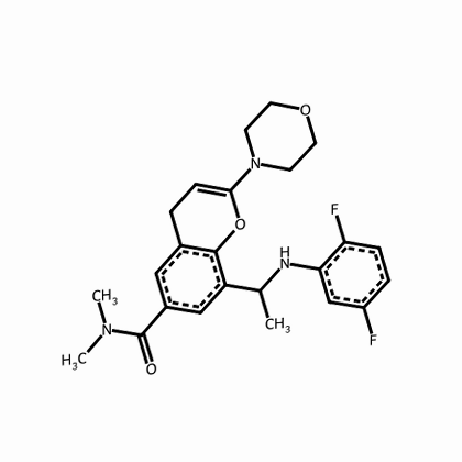 CC(Nc1cc(F)ccc1F)c1cc(C(=O)N(C)C)cc2c1OC(N1CCOCC1)=CC2